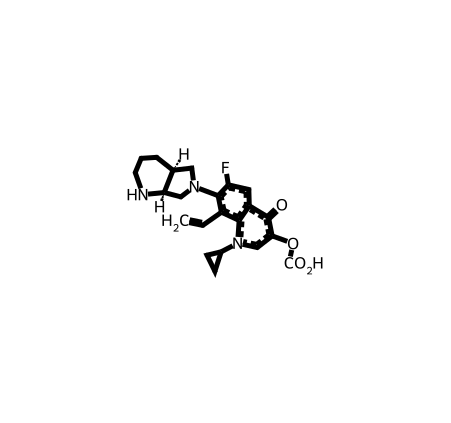 C=Cc1c(N2C[C@@H]3CCCN[C@@H]3C2)c(F)cc2c(=O)c(OC(=O)O)cn(C3CC3)c12